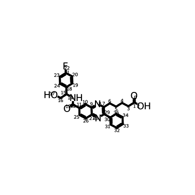 O=C(O)CCCCc1nc2cc(C(=O)NC(CO)c3ccc(F)cc3)ccc2nc1-c1ccccc1